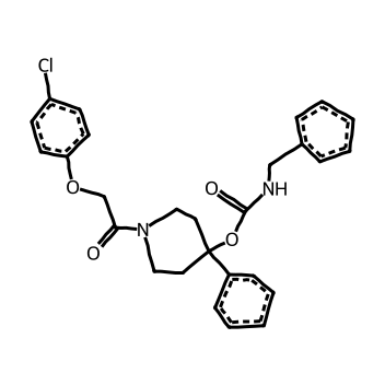 O=C(NCc1ccccc1)OC1(c2ccccc2)CCN(C(=O)COc2ccc(Cl)cc2)CC1